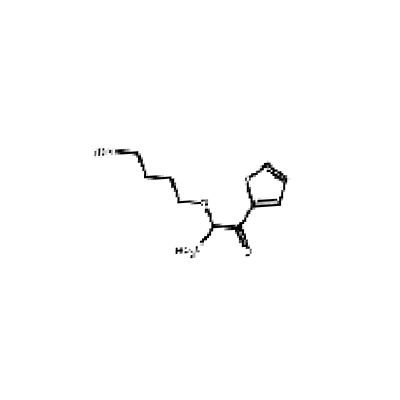 CCCCCCCCCCCCCCOC(C(=O)O)C(=O)c1cccs1